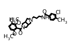 COc1ccc(Cl)c(OC)c1C(=O)N1CC2CN(CCCNC(=O)c3ccc(C)c(Cl)c3)CC2C1